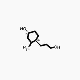 CC1C[C@H](O)CC[C@H]1CCCO